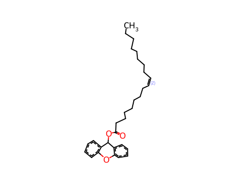 CCCCCCCC/C=C\CCCCCCCC(=O)OC1c2ccccc2Oc2ccccc21